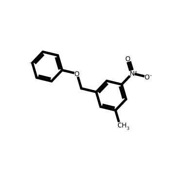 Cc1cc(COc2cc[c]cc2)cc([N+](=O)[O-])c1